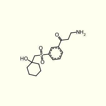 NCCC(=O)c1cccc(S(=O)(=O)CC2(O)CCCCC2)c1